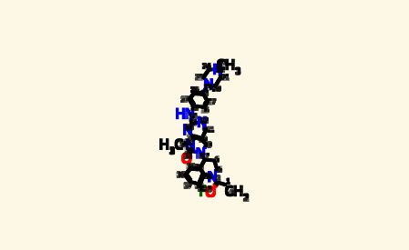 C=CC(=O)N1CCC(N2Cc3cnc(Nc4ccc(N5CCN(C)CC5)cc4)nc3N(C)C2=O)c2cccc(F)c21